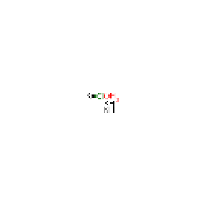 O.[Cl][K].[KH].[KH]